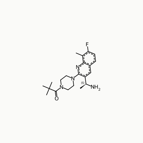 Cc1c(F)ccc2cc([C@H](C)N)c(N3CCN(C(=O)C(C)(C)C)CC3)nc12